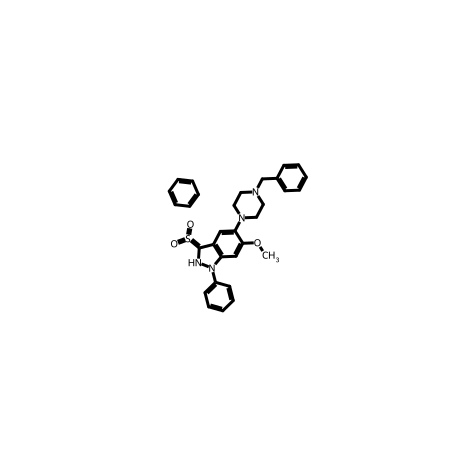 COc1cc2c(cc1N1CCN(Cc3ccccc3)CC1)c(=S(=O)=O)[nH]n2-c1ccccc1.c1ccccc1